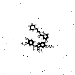 COc1cc2c(cc1Oc1ccnc(C(=O)NCCN3CCCCC3)c1)nc(Nc1ccc(Br)c(C)c1)n2C